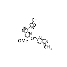 COc1cc2nnc(-c3cc(C)on3)n2nc1OCc1ccc2c(cnn2C)n1